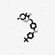 CN1CCC(C)(C(=O)N(O)Cc2ccc(Nc3ccc(C(C)(C)C)cc3)cc2)CC1